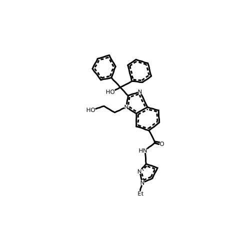 CCn1ccc(NC(=O)c2ccc3nc(C(O)(c4ccccc4)c4ccccc4)n(CCO)c3c2)n1